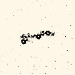 CCc1ccccc1N1C(=O)CS/C1=N\C(=O)NCCCc1cccc(-c2ncn(-c3ccc(OC(F)(F)F)cc3)n2)c1